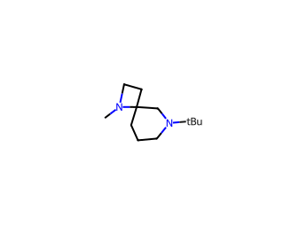 CN1CCC12CCCN(C(C)(C)C)C2